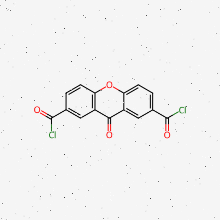 O=C(Cl)c1ccc2oc3ccc(C(=O)Cl)cc3c(=O)c2c1